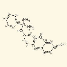 NC(N)(Oc1ccc2nc3ccc(=O)cc-3oc2c1)c1ccccc1